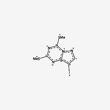 CSc1nc(SC)n2ncc(I)c2n1